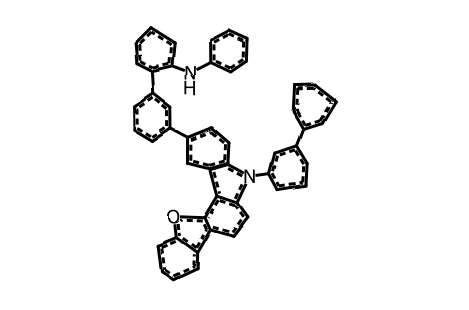 c1ccc(Nc2ccccc2-c2cccc(-c3ccc4c(c3)c3c5oc6ccccc6c5ccc3n4-c3cccc(-c4ccccc4)c3)c2)cc1